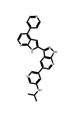 CC(C)Nc1cncc(-c2cnc3[nH]nc(-c4cc5c(-c6ccncc6)ccnc5[nH]4)c3c2)c1